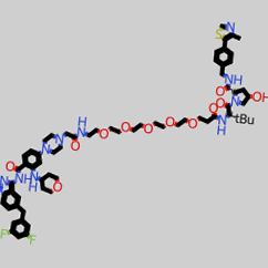 Cc1ncsc1-c1ccc(CNC(=O)[C@@H]2CC(O)CN2C(=O)[C@@H](NC(=O)CCOCCOCCOCCOCCOCCNC(=O)CN2CCN(c3ccc(C(=O)Nc4n[nH]c5ccc(Cc6cc(F)cc(F)c6)cc45)c(NC4CCOCC4)c3)CC2)C(C)(C)C)cc1